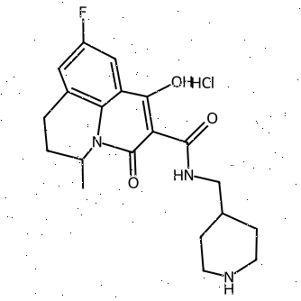 CC1CCc2cc(F)cc3c(O)c(C(=O)NCC4CCNCC4)c(=O)n1c23.Cl